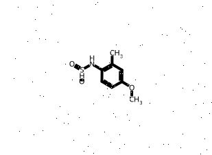 COc1ccc(N[SH](=O)=O)c(C)c1